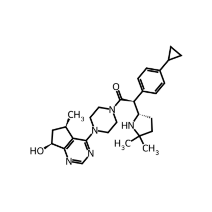 C[C@@H]1C[C@H](O)c2ncnc(N3CCN(C(=O)[C@@H](c4ccc(C5CC5)cc4)[C@@H]4CCC(C)(C)N4)CC3)c21